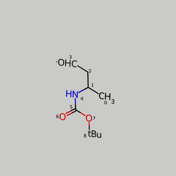 CC(C[C]=O)NC(=O)OC(C)(C)C